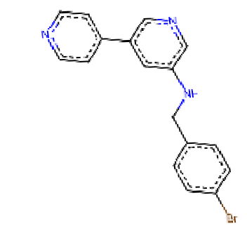 Brc1ccc(CNc2cncc(-c3ccncc3)c2)cc1